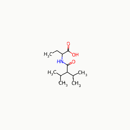 CCC(NC(=O)C(C(C)C)C(C)C)C(=O)O